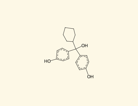 Oc1ccc(C(O)(c2ccc(O)cc2)C2CCCCC2)cc1